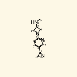 CNC1CN(c2ccc(C3=NC3)cn2)C1